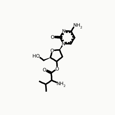 CC(C)C(N)C(=O)OC1C[C@H](n2ccc(N)nc2=O)O[C@@H]1CO